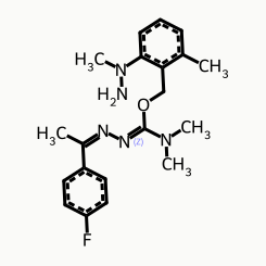 CC(=N/N=C(\OCc1c(C)cccc1N(C)N)N(C)C)c1ccc(F)cc1